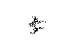 B[C@H]1CC(OC)[C@@H](CNP(=O)(O)OC2C[C@H](B)O[C@@H]2COC)O1